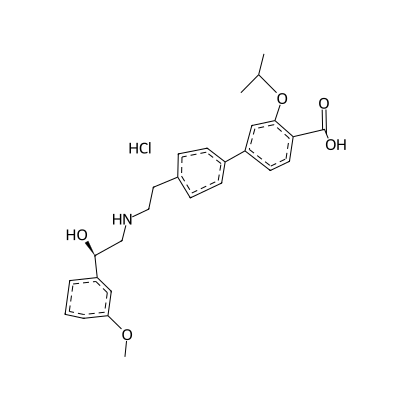 COc1cccc([C@@H](O)CNCCc2ccc(-c3ccc(C(=O)O)c(OC(C)C)c3)cc2)c1.Cl